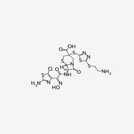 NCCSc1nnc(SC2(C(=O)O)CS[C@@H]3[C@H](NC(=O)C(=NO)c4nc(N)sc4Cl)C(=O)N3C2)s1